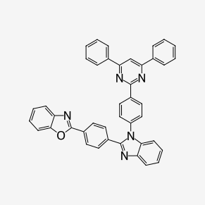 c1ccc(-c2cc(-c3ccccc3)nc(-c3ccc(-n4c(-c5ccc(-c6nc7ccccc7o6)cc5)nc5ccccc54)cc3)n2)cc1